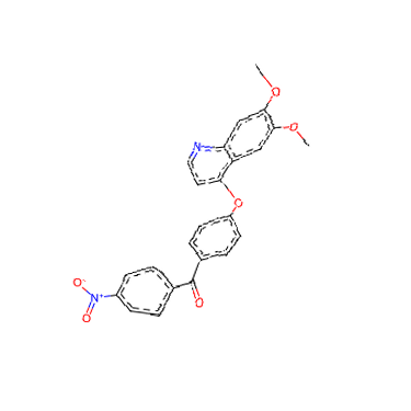 COc1cc2nccc(Oc3ccc(C(=O)c4ccc([N+](=O)[O-])cc4)cc3)c2cc1OC